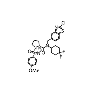 CN=[S@](=O)(c1ccc(OC)cc1)N1CCC[C@H]1C(=O)N(Cc1ccc2sc(Cl)nc2c1)C1CCC(F)(F)CC1